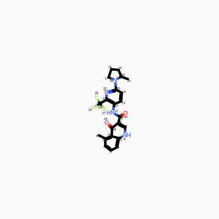 Cc1cccc2[nH]cc(C(=O)Nc3ccc(N4CCCC4C)nc3C(F)(F)F)c(=O)c12